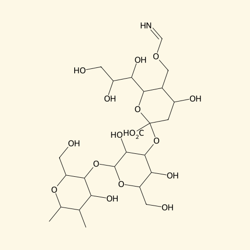 CC1OC(CO)C(OC2OC(CO)C(O)C(OC3(C(=O)O)CC(O)C(COC=N)C(C(O)C(O)CO)O3)C2O)C(O)C1C